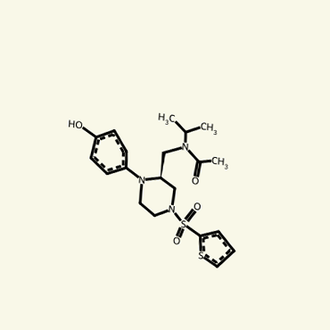 CC(=O)N(C[C@H]1CN(S(=O)(=O)c2cccs2)CCN1c1ccc(O)cc1)C(C)C